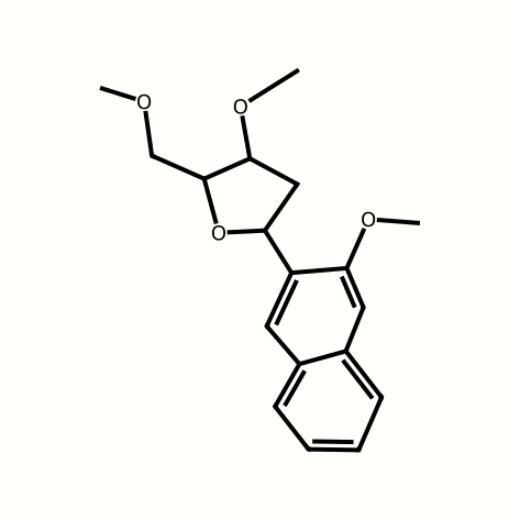 COCC1OC(c2cc3ccccc3cc2OC)CC1OC